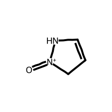 O=[N+]1CC=CN1